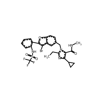 CCc1nc(C2CC2)c(C(=O)NC)n1Cc1ccc2oc(-c3ccccc3NS(=O)(=O)C(F)(F)F)c(Br)c2c1